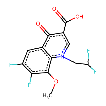 COc1c(F)c(F)cc2c(=O)c(C(=O)O)cn(CC(F)F)c12